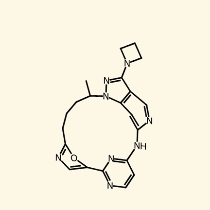 CC1CCCc2ncc(o2)-c2nccc(n2)Nc2cc3c(cn2)c(N2CCC2)nn31